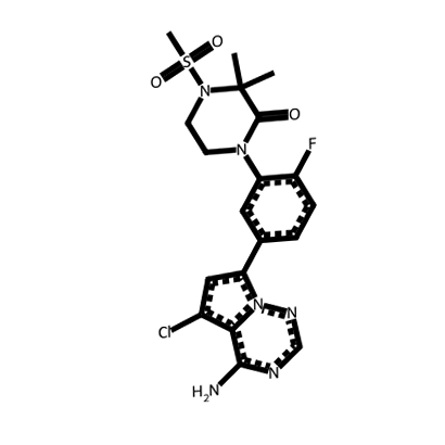 CC1(C)C(=O)N(c2cc(-c3cc(Cl)c4c(N)ncnn34)ccc2F)CCN1S(C)(=O)=O